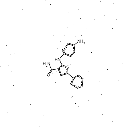 NC(=O)c1cc(-c2ccccc2)sc1Nc1ccc(N)cn1